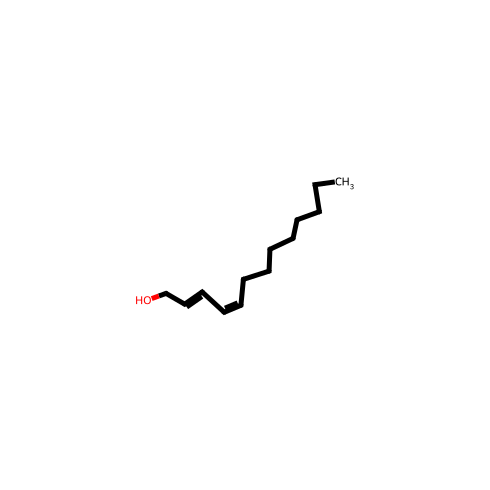 CCCCCCCC/C=C\C=C\CO